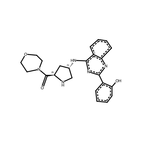 O=C([C@H]1C[C@H](Nc2nc(-c3ccccc3O)nc3ccccc23)CN1)N1CCOCC1